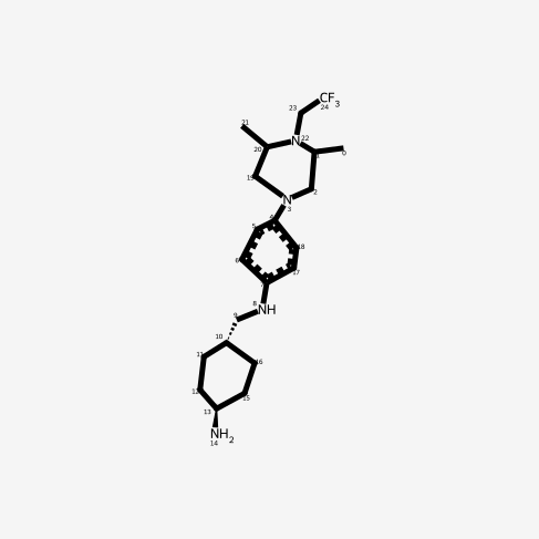 CC1CN(c2ccc(NC[C@H]3CC[C@H](N)CC3)cc2)CC(C)N1CC(F)(F)F